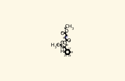 CCOC(=O)/C=C/C(=O)OC[C@H](NC(C)=O)c1ccccc1